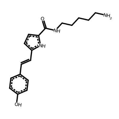 NCCCCCNC(=O)c1ccc(/C=C/c2ccc(O)cc2)[nH]1